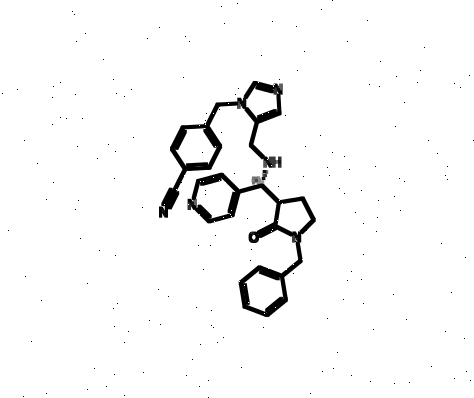 N#Cc1ccc(Cn2cncc2CN[C@@H](c2ccncc2)C2CCN(Cc3ccccc3)C2=O)cc1